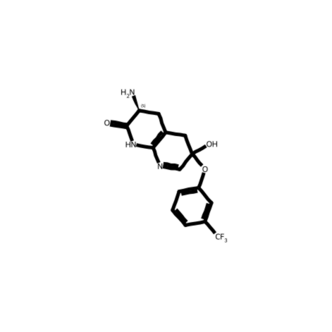 N[C@H]1CC2=C(N=CC(O)(Oc3cccc(C(F)(F)F)c3)C2)NC1=O